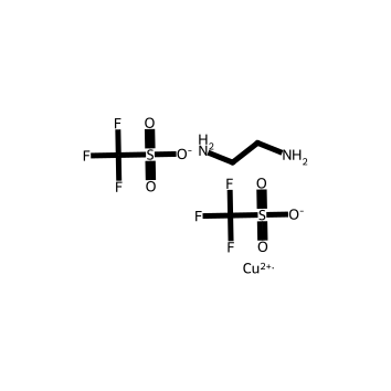 NCCN.O=S(=O)([O-])C(F)(F)F.O=S(=O)([O-])C(F)(F)F.[Cu+2]